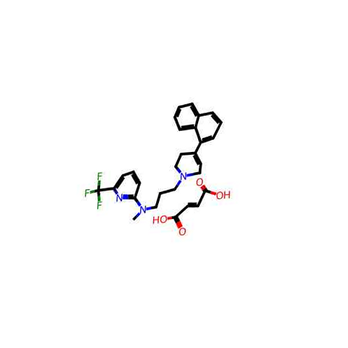 CN(CCCN1CC=C(c2cccc3ccccc23)CC1)c1cccc(C(F)(F)F)n1.O=C(O)/C=C/C(=O)O